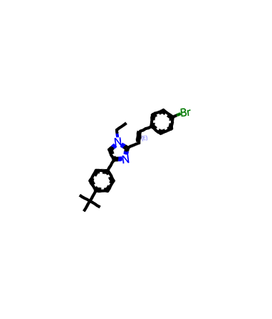 CCn1cc(-c2ccc(C(C)(C)C)cc2)nc1/C=C/c1ccc(Br)cc1